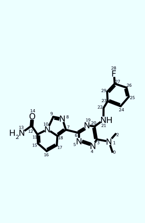 CN(C)c1nnc(-c2ncn3c(C(N)=O)cccc23)nc1NCc1cccc(F)c1